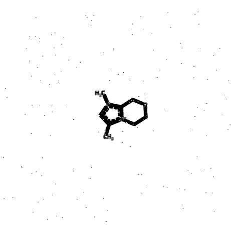 Cc1cn(C)c2[n+]1CCOC2